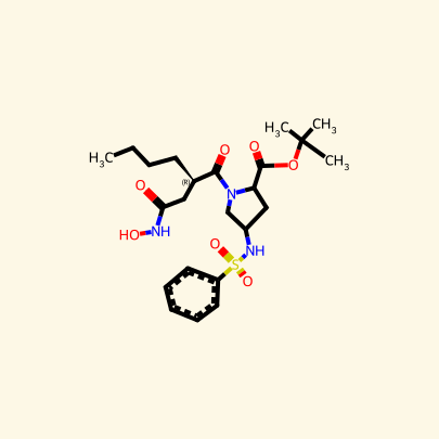 CCCC[C@H](CC(=O)NO)C(=O)N1CC(NS(=O)(=O)c2ccccc2)CC1C(=O)OC(C)(C)C